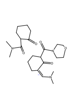 CN(C)/C=C1/CCCC(C(=O)N2CCOCC2)C1=O.CN(C)C(=O)C1CCCCC1=O